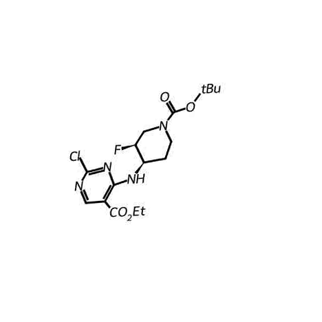 CCOC(=O)c1cnc(Cl)nc1N[C@@H]1CCN(C(=O)OC(C)(C)C)C[C@@H]1F